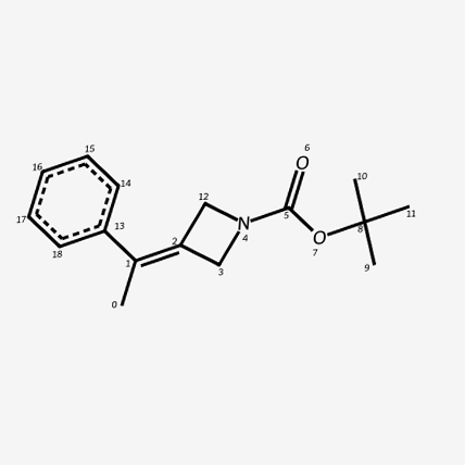 CC(=C1CN(C(=O)OC(C)(C)C)C1)c1ccccc1